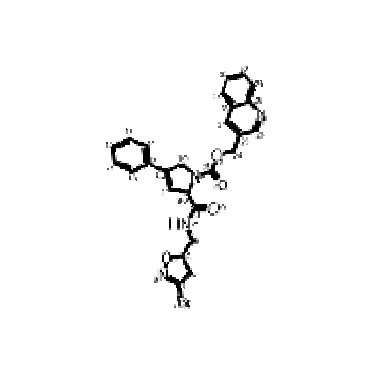 O=C(NCC1CC(Br)=NO1)C1C=C(c2ccccc2)CN1C(=O)OCc1cnc2ccccc2c1